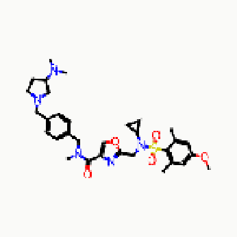 COc1cc(C)c(S(=O)(=O)N(Cc2nc(C(=O)N(C)Cc3ccc(CN4CCC(N(C)C)C4)cc3)co2)C2CC2)c(C)c1